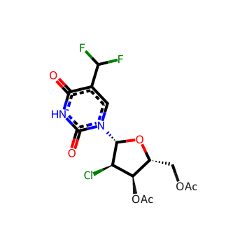 CC(=O)OC[C@H]1O[C@@H](n2cc(C(F)F)c(=O)[nH]c2=O)[C@H](Cl)[C@@H]1OC(C)=O